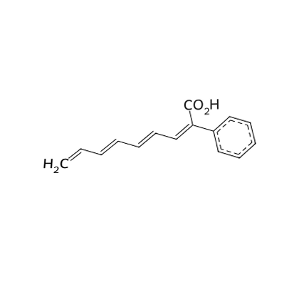 C=CC=CC=CC=C(C(=O)O)c1ccccc1